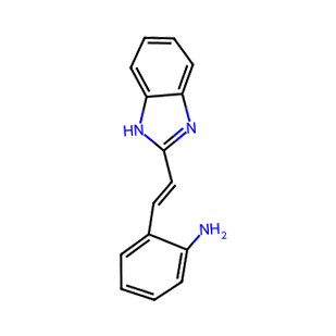 Nc1ccccc1C=Cc1nc2ccccc2[nH]1